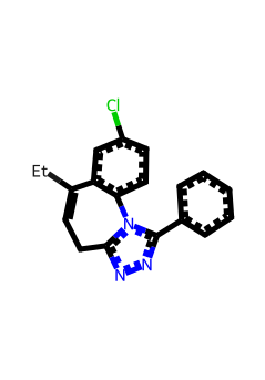 CCC1=CCc2nnc(-c3ccccc3)n2-c2ccc(Cl)cc21